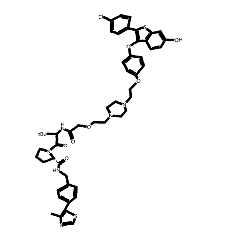 Cc1ncsc1-c1ccc(CNC(=O)[C@@H]2CCCN2C(=O)C(NC(=O)COCCN2CCN(CCOc3ccc(Oc4c(-c5ccc(Cl)cc5)sc5cc(O)ccc45)cc3)CC2)C(C)(C)C)cc1